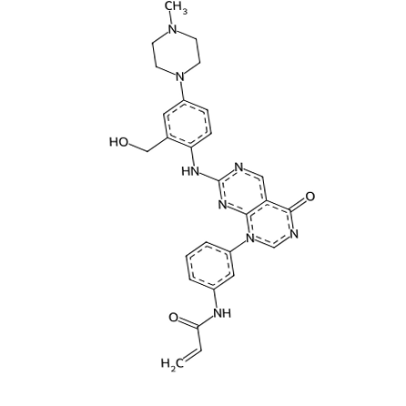 C=CC(=O)Nc1cccc(-n2cnc(=O)c3cnc(Nc4ccc(N5CCN(C)CC5)cc4CO)nc32)c1